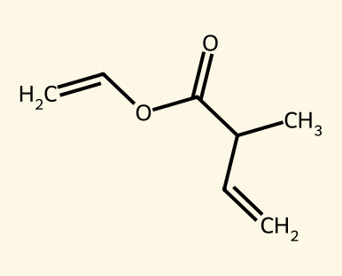 C=COC(=O)C(C)C=C